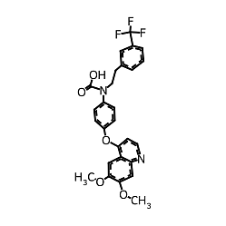 COc1cc2nccc(Oc3ccc(N(CCc4cccc(C(F)(F)F)c4)C(=O)O)cc3)c2cc1OC